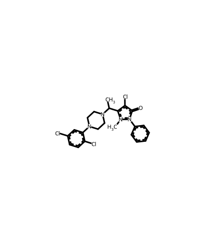 CC(c1c(Cl)c(=O)n(-c2ccccc2)n1C)N1CCN(c2cc(Cl)ccc2Cl)CC1